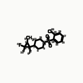 CC1C(F)(F)C1(F)C1CCN(S(=O)(=O)c2ccccc2Cl)CC1